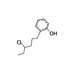 CCC(Cl)CCCc1ccccc1O